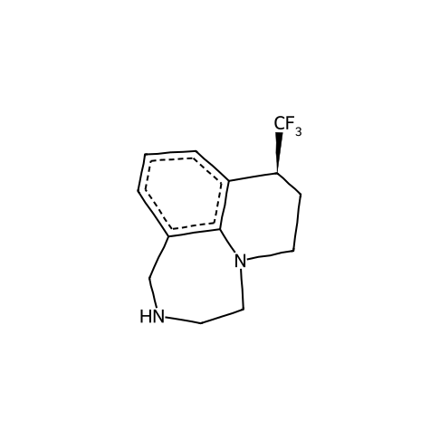 FC(F)(F)[C@H]1CCN2CCNCc3cccc1c32